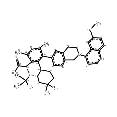 COc1ccc2ncnc(N3CCc4cc(-c5c(C)nc(C)c([C@H](OC(C)(C)C)C(=O)O)c5N5CCC(C)(C)CC5)ccc4C3)c2c1